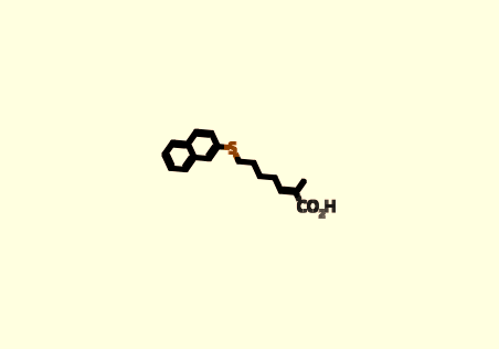 CC(=CCCCCSc1ccc2ccccc2c1)C(=O)O